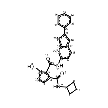 Cn1ncc(C(=O)NC2CCC2)c1C(=O)Nc1ccn2cc(-c3ccccc3)nc2n1